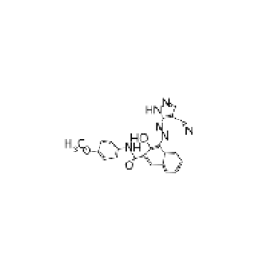 COc1ccc(NC(=O)c2cc3ccccc3c(/N=N/c3[nH]ncc3C#N)c2O)cc1